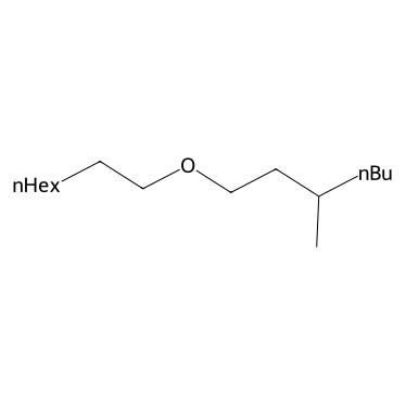 CCCCCCCCOCCC(C)CCCC